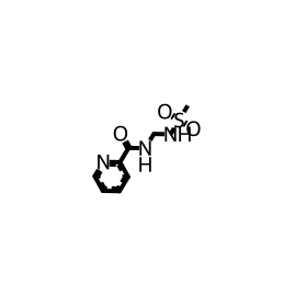 CS(=O)(=O)NCNC(=O)c1ccccn1